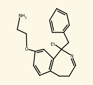 CCC1(Cc2ccccc2)N=CCCc2ccc(OCCN)cc21